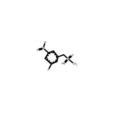 CS(=N)(=O)Cc1cc(F)cc([N+](=O)[O-])c1